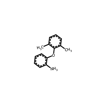 Cc1cccc(C)c1Oc1ccccc1N